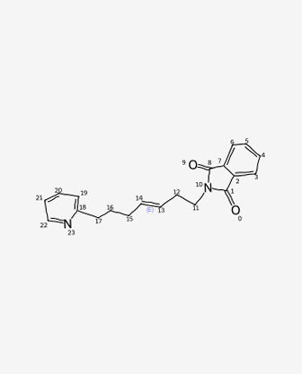 O=C1c2ccccc2C(=O)N1CC/C=C/CCCc1ccccn1